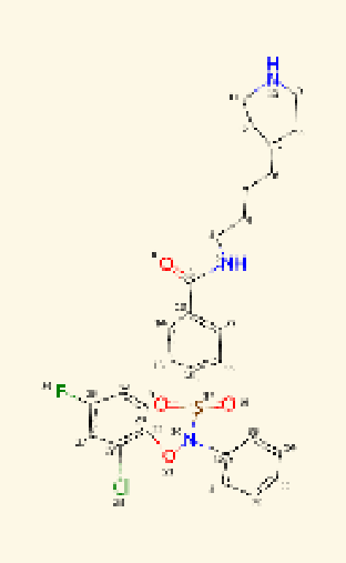 O=C(NCCCCC1CCNCC1)c1ccc(S(=O)(=O)N(Oc2ccc(F)cc2Cl)c2ccccc2)cc1